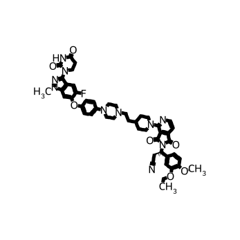 CCOc1cc([C@@H](CC#N)N2C(=O)c3ccnc(N4CCC(CCN5CCN(c6ccc(Oc7cc8c(cc7F)c(N7CCC(=O)NC7=O)nn8C)cc6)CC5)CC4)c3C2=O)ccc1OC